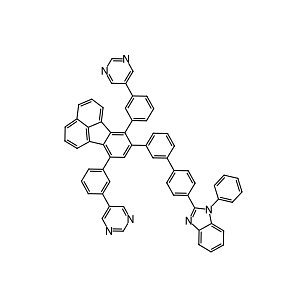 c1ccc(-n2c(-c3ccc(-c4cccc(-c5cc(-c6cccc(-c7cncnc7)c6)c6c(c5-c5cccc(-c7cncnc7)c5)-c5cccc7cccc-6c57)c4)cc3)nc3ccccc32)cc1